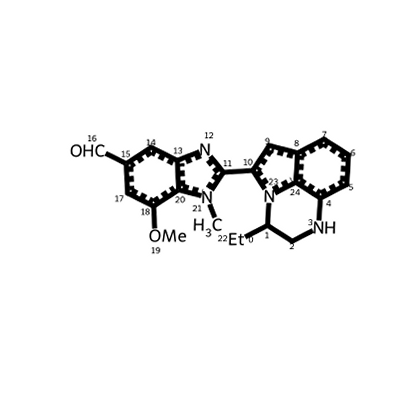 CCC1CNc2cccc3cc(-c4nc5cc(C=O)cc(OC)c5n4C)n1c23